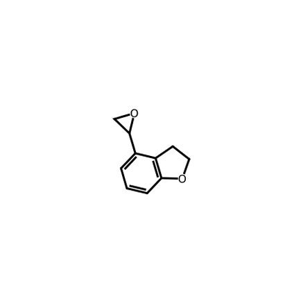 c1cc2c(c(C3CO3)c1)CCO2